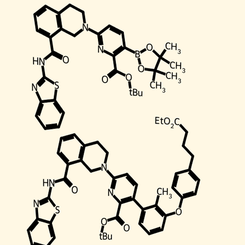 CC(C)(C)OC(=O)c1nc(N2CCc3cccc(C(=O)Nc4nc5ccccc5s4)c3C2)ccc1B1OC(C)(C)C(C)(C)O1.CCOC(=O)CCCc1ccc(Oc2cccc(-c3ccc(N4CCc5cccc(C(=O)Nc6nc7ccccc7s6)c5C4)nc3C(=O)OC(C)(C)C)c2C)cc1